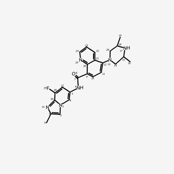 Cc1cn2cc(NC(=O)c3ccc(N4CC(C)NC(C)C4)c4cccnc34)cc(F)c2n1